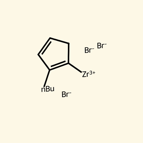 CCCCC1=[C]([Zr+3])CC=C1.[Br-].[Br-].[Br-]